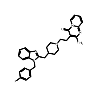 Cc1nc2ccccn2c(=O)c1CCN1CCC(Cc2nc3ccccc3n2Cc2ccc(F)cc2)CC1